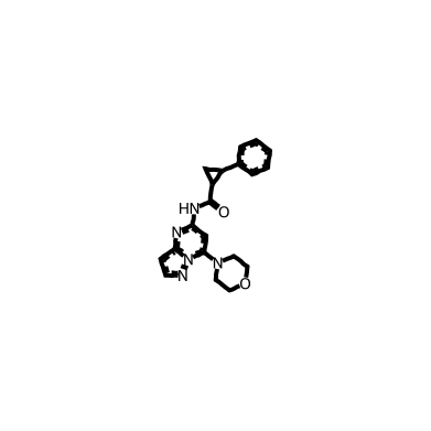 O=C(Nc1cc(N2CCOCC2)n2nccc2n1)C1CC1c1ccccc1